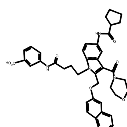 O=C(CCCn1c(COc2ccc3ccccc3c2)c(C(=O)N2CCOCC2)c2cc(NC(=O)C3CCCC3)ccc21)Nc1cccc(C(=O)O)c1